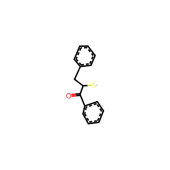 O=C(c1ccccc1)C([S])Cc1ccccc1